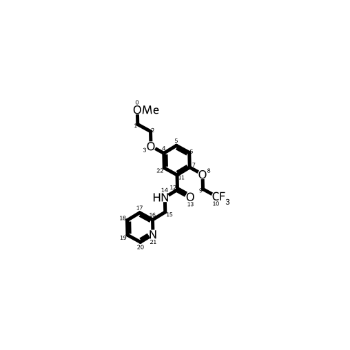 COCCOc1ccc(OCC(F)(F)F)c(C(=O)NCc2ccccn2)c1